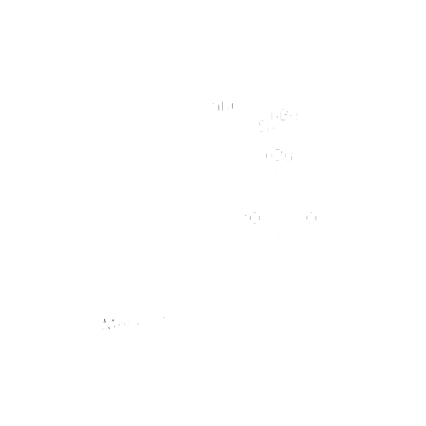 C=[C](CCOC(=O)C(C)c1ccc2cc(OC)ccc2c1)[Sn]([CH2]CCC)([CH2]CCC)[CH2]CCC